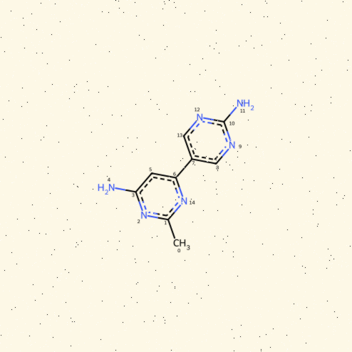 Cc1nc(N)cc(-c2cnc(N)nc2)n1